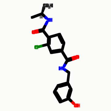 C[C@H](NC(=O)c1ccc(C(=O)NCc2cccc(O)c2)cc1Cl)C(=O)O